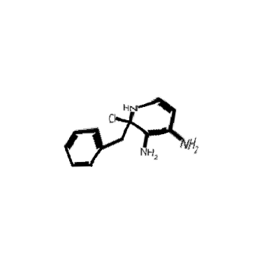 NC1=C(N)C(Cl)(Cc2ccccc2)NC=C1